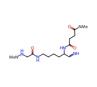 CNNCC(=O)NCCCCC(C=N)NC(=O)CCC(=O)NC